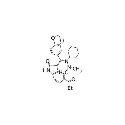 CCC(=O)c1ccc2c(c1)C(=C(c1ccc3c(c1)OCO3)N(C1CCCCC1)N(C)C)C(=O)N2